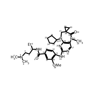 CCC(CCN(C)C)NC(=O)c1ccc(Nc2ncc3c(n2)N(C2CCCC2)CC2(CC2)C(=O)N3C)c(OC)c1